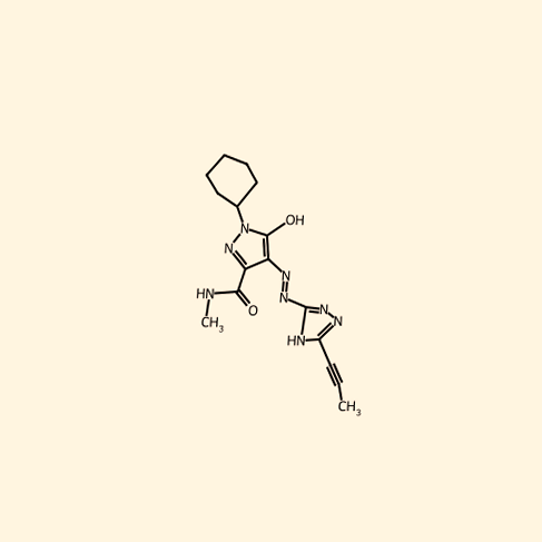 CC#Cc1nnc(N=Nc2c(C(=O)NC)nn(C3CCCCC3)c2O)[nH]1